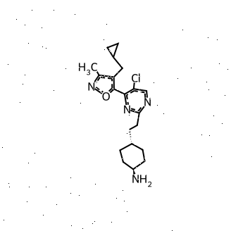 Cc1noc(-c2nc(CC[C@H]3CC[C@H](N)CC3)ncc2Cl)c1CC1CC1